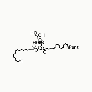 CC/C=C\C/C=C\C/C=C\CCCCCCCC(=O)O[C@H](COC(=O)CCC/C=C\C/C=C\C/C=C\C/C=C\CCCCC)COP(=O)(O)OC[C@@H](O)CO